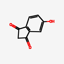 O=C1CC(=O)c2cc(O)ccc21